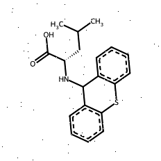 CC(C)C[C@H](NC1c2ccccc2Sc2ccccc21)C(=O)O